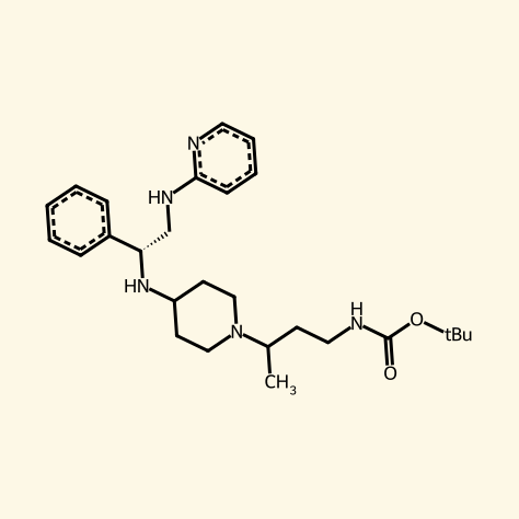 CC(CCNC(=O)OC(C)(C)C)N1CCC(N[C@@H](CNc2ccccn2)c2ccccc2)CC1